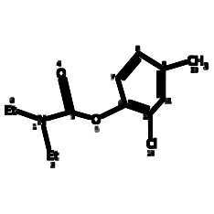 CCN(CC)C(=O)Oc1ccc(C)cc1Cl